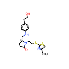 O=C(O)c1csc(SCCN2C(=O)CC[C@@H]2CNc2ccc(CCO)cc2)n1